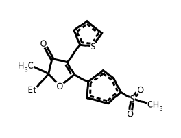 CCC1(C)OC(c2ccc(S(C)(=O)=O)cc2)=C(c2cccs2)C1=O